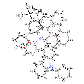 CC(C)(C)c1ccc(N(c2ccccc2-c2cccc3cccc(C4CCCCC4)c23)c2ccccc2-c2cccc3c2c2ccccc2n3-c2ccccc2)c(-c2ccccc2)c1